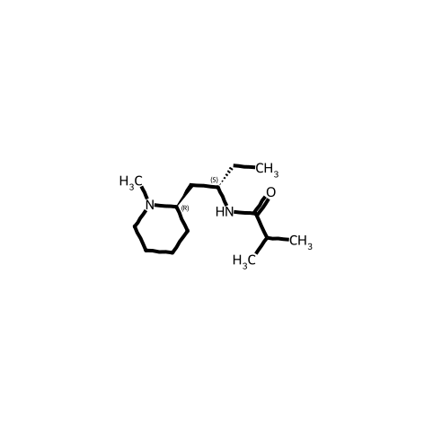 CC[C@@H](C[C@H]1CCCCN1C)NC(=O)C(C)C